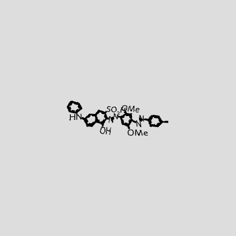 COc1cc(/N=N/c2c(S(=O)(=O)O)cc3cc(Nc4ccccc4)ccc3c2O)c(OC)cc1/N=N/c1ccc(C)cc1